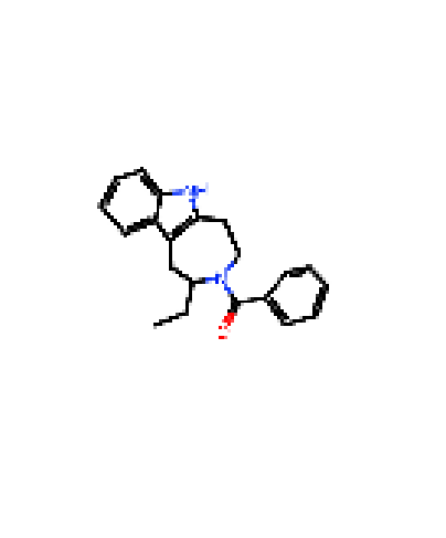 CCC1Cc2c([nH]c3ccccc23)CCN1C(=O)c1ccccc1